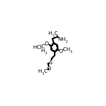 COCSCCc1cc(OC)c(C[C@@H](C)N)cc1OC.Cl